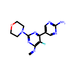 C=Nc1nc(N2CCOCC2)nc(-c2cnc(N)nc2)c1F